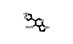 CNc1c(-c2cn[nH]c2)cnc2[nH]ccc12